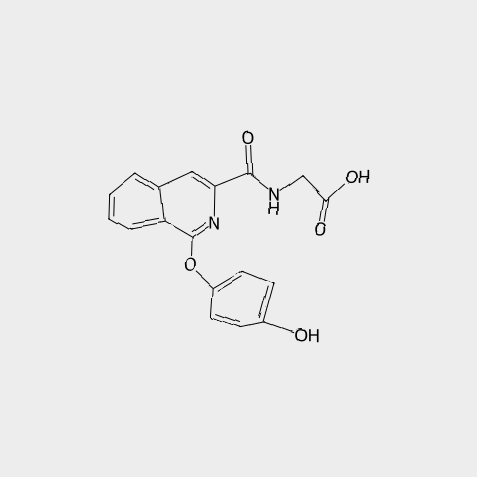 O=C(O)CNC(=O)c1cc2ccccc2c(Oc2ccc(O)cc2)n1